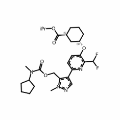 CC(C)OC(=O)[C@H]1CCC[C@H](Oc2ccc(-c3cnn(C)c3COC(=O)N(C)C3CCCC3)nc2C(F)F)C1